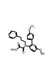 CCCOc1ccc(N(CCCc2ccccc2)C(=O)C(=O)OC)c(-c2ccc(OC(F)(F)F)cc2)c1